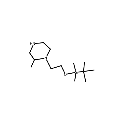 CC1CNCCN1CCO[Si](C)(C)C(C)(C)C